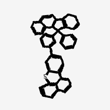 C1=CC2=C(CC1)c1ccc3ccccc3c1C2(c1ccccc1)c1cccc(-c2ccc3c(c2)Sc2cccc4cccc-3c24)c1